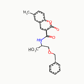 Cc1ccc2oc(=O)c(C(=O)NC(COCc3ccccc3)C(=O)O)cc2c1